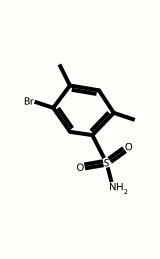 Cc1cc(C)c(S(N)(=O)=O)cc1Br